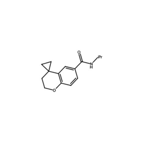 CC(C)NC(=O)c1ccc2c(c1)C1(CCO2)CC1